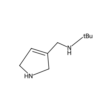 CC(C)(C)NCC1=CCNC1